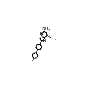 Cc1ccc(-c2ccc(-c3cn4nc(N)cc(N)c4n3)cc2)cc1